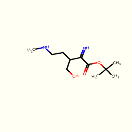 CNCCC(CO)C(=N)C(=O)OC(C)(C)C